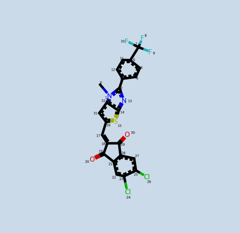 Cn1c(-c2ccc(C(F)(F)F)cc2)nc2sc(C=C3C(=O)c4cc(Cl)c(Cl)cc4C3=O)cc21